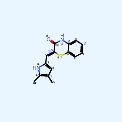 Cc1cc(/C=C2\Sc3ccccc3NC2=O)[nH]c1C